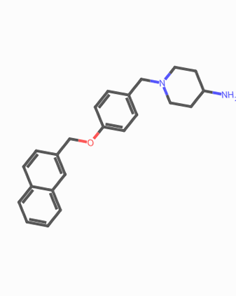 NC1CCN(Cc2ccc(OCc3ccc4ccccc4c3)cc2)CC1